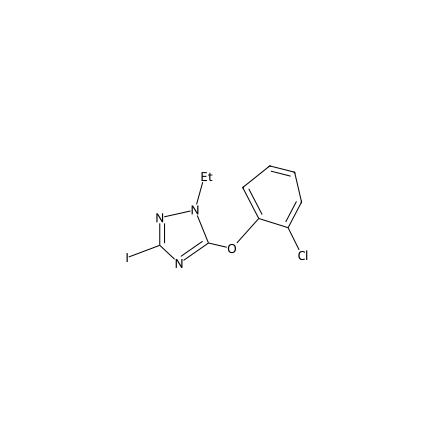 CCn1nc(I)nc1Oc1ccccc1Cl